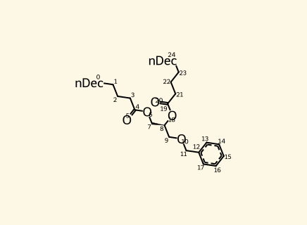 CCCCCCCCCCCCCC(=O)OC[C@H](COCc1ccccc1)OC(=O)CCCCCCCCCCCCC